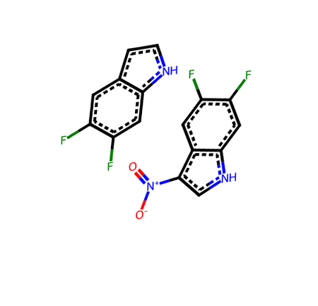 Fc1cc2cc[nH]c2cc1F.O=[N+]([O-])c1c[nH]c2cc(F)c(F)cc12